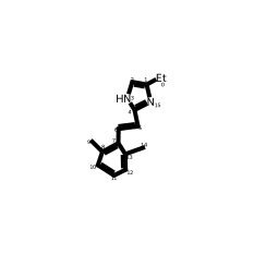 CCc1c[nH]c(/C=C/c2c(C)cccc2C)n1